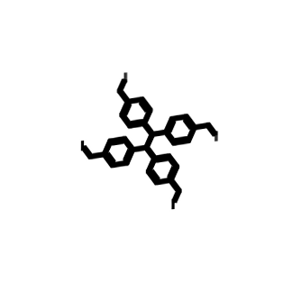 ICc1ccc(C(c2ccc(CI)cc2)C(c2ccc(CI)cc2)c2ccc(CI)cc2)cc1